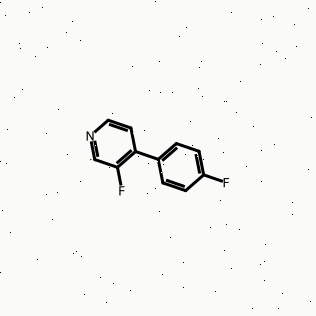 Fc1ccc(-c2ccn[c]c2F)cc1